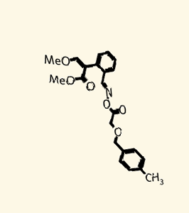 CO/C=C(\C(=O)OC)c1ccccc1/C=N/OC(=O)COCc1ccc(C)cc1